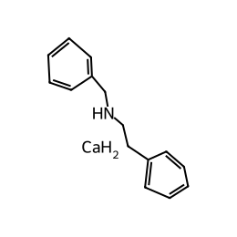 [CaH2].c1ccc(CCNCc2ccccc2)cc1